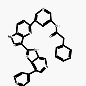 O=C(Cc1ccccc1)Nc1cncc(-c2ccc3[nH]nc(-c4nc5c(-c6ccncc6)cncc5[nH]4)c3n2)c1